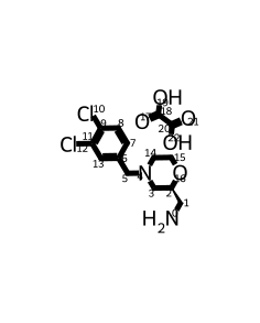 NC[C@H]1CN(Cc2ccc(Cl)c(Cl)c2)CCO1.O=C(O)C(=O)O